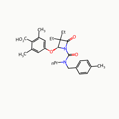 CCCN(Cc1ccc(C)cc1)C(=O)N1C(=O)C(CC)(CC)[C@@H]1Oc1cc(C)c(C(=O)O)c(C)c1